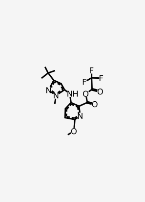 COc1ccc(Nc2cc(C(C)(C)C)nn2C)c(C(=O)OC(=O)C(F)(F)F)n1